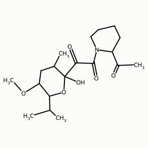 COC1CC(C)C(O)(C(=O)C(=O)N2CCCCC2C(C)=O)OC1C(C)C